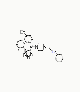 CCc1ccc([C@@H](c2nnnn2-c2c(C)cccc2C)N2CCN(C/C=C/c3ccccc3)CC2)cc1